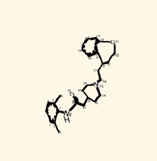 Cc1cccc(C)c1NC(=O)CC1CCN(CCC2CCOc3ccccc32)CC1